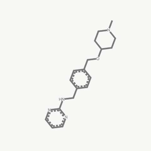 CN1CCC(OCc2ccc(CNc3ncccn3)cc2)CC1